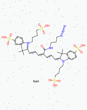 CC1(C)C(/C=C/C=C(/C=C/C=C2/N(CCCCS(=O)(=O)O)c3ccc(S(=O)(=O)O)cc3C2(C)C)C(=O)NCCCN=[N+]=[N-])=[N+](CCCCS(=O)(=O)O)c2ccc(S(=O)(=O)O)cc21.[NaH]